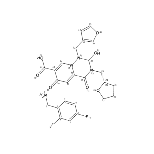 NCc1ccc(F)cc1F.O=C(O)c1cn2c(cc1=O)C(=O)N(C[C@@H]1CCCO1)C(O)N2Cc1ccoc1